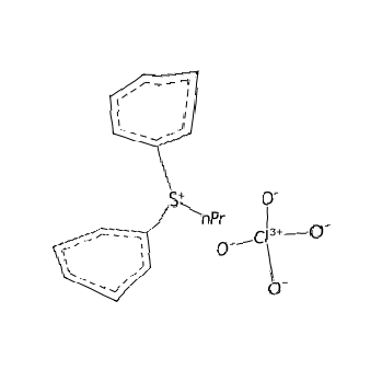 CCC[S+](c1ccccc1)c1ccccc1.[O-][Cl+3]([O-])([O-])[O-]